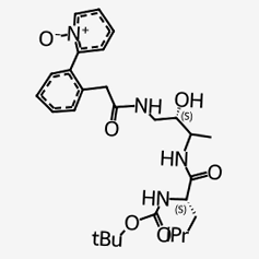 CC(C)C[C@H](NC(=O)OC(C)(C)C)C(=O)NC(C)[C@@H](O)CNC(=O)Cc1ccccc1-c1cccc[n+]1[O-]